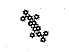 Cc1cc(N(c2ccccc2)c2ccc(N(C3=CCCC=C3)c3ccccc3)cc2)c2ccccc2c1-c1c(C)cc(N(c2ccc(C(C3=CCCC=C3)c3ccccc3)cc2)C2C=CC=CC2)c2ccccc12